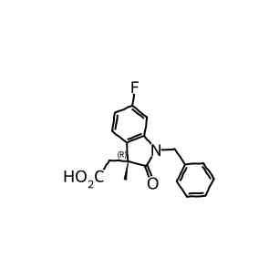 C[C@]1(CC(=O)O)C(=O)N(Cc2ccccc2)c2cc(F)ccc21